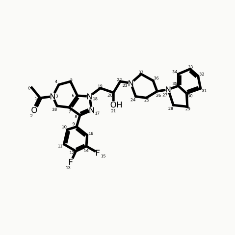 CC(=O)N1CCc2c(c(-c3ccc(F)c(F)c3)nn2CC(O)CN2CCC(N3CCc4ccccc43)CC2)C1